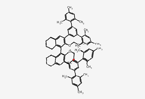 COCOc1c(-c2cc(-c3c(C)cc(C)cc3C)cc(-c3c(C)cc(C)cc3C)c2)cc2c(c1-c1c3c(cc(-c4cc(-c5c(C)cc(C)cc5C)cc(-c5c(C)cc(C)cc5C)c4)c1OCOC)CCCC3)CCCC2